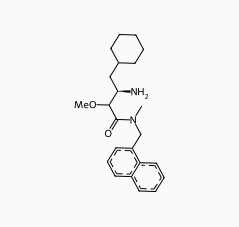 COC(C(=O)N(C)Cc1cccc2ccccc12)[C@H](N)CC1CCCCC1